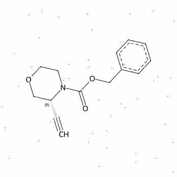 C#C[C@@H]1COCCN1C(=O)OCc1ccccc1